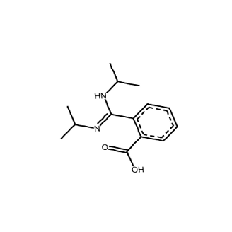 CC(C)N=C(NC(C)C)c1ccccc1C(=O)O